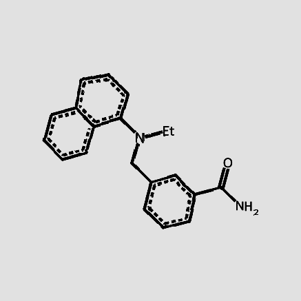 CCN(Cc1cccc(C(N)=O)c1)c1cccc2ccccc12